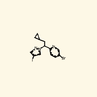 Brc1ccc(C(CC2CC2)n2cc(I)cn2)nc1